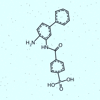 Nc1ccc(-c2ccccc2)cc1NC(=O)c1ccc(P(=O)(O)O)cc1